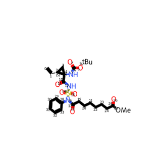 C=C[C@@H]1C[C@]1(NC(=O)OC(C)(C)C)C(=O)NS(=O)(=O)N(C(=O)CCCCCCC(=O)OC)c1ccccc1